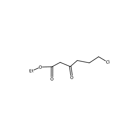 CCOC(=O)CC(=O)CCCCl